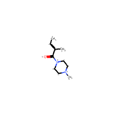 C/C=C(\C)C(=O)N1CCN(C)CC1